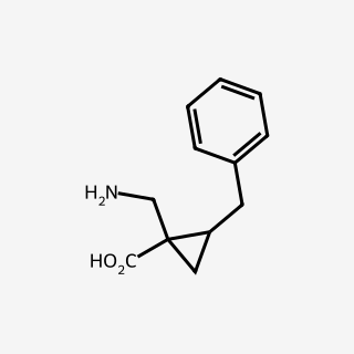 NCC1(C(=O)O)CC1Cc1ccccc1